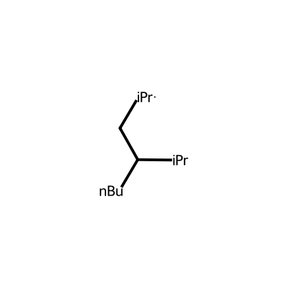 CCCCC(C[C](C)C)C(C)C